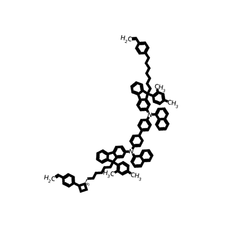 C=Cc1ccc(CCCCCCCC2(c3ccc(C)cc3C)c3ccccc3-c3ccc(N(c4ccc(C5C=CC(N(c6ccc7c(c6)C(CCCCCC[C@@H]6CCC6c6ccc(C=C)cc6)(c6ccc(C)cc6C)c6ccccc6-7)c6cccc7ccccc67)=CC5)cc4)c4cccc5ccccc45)cc32)cc1